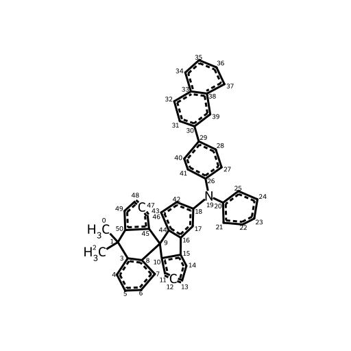 CC1(C)c2ccccc2C2(c3ccccc3-c3cc(N(c4ccccc4)c4ccc(-c5ccc6ccccc6c5)cc4)ccc32)c2ccccc21